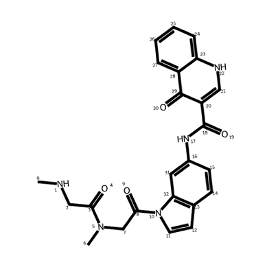 CNCC(=O)N(C)CC(=O)n1ccc2ccc(NC(=O)c3c[nH]c4ccccc4c3=O)cc21